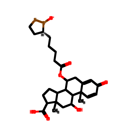 CC12C=CC(=O)C=C1CC(OC(=O)CCCC[C@@H]1CCS[S+]1[O-])C1C2C(O)CC2(C)C(C(=O)O)CCC12